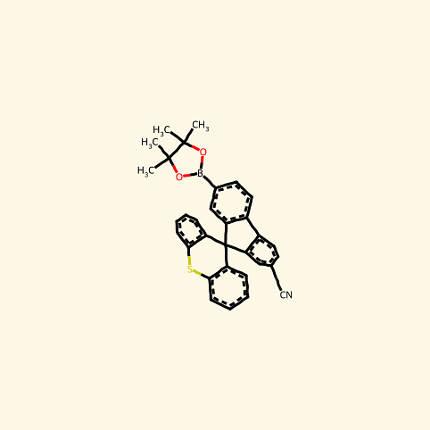 CC1(C)OB(c2ccc3c(c2)C2(c4ccccc4Sc4ccccc42)c2cc(C#N)ccc2-3)OC1(C)C